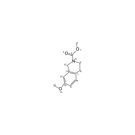 COC(=O)N1CCc2ccc(OC)cc2C1